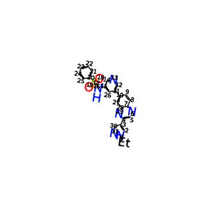 CCn1cc(-c2cnc3ccc(-c4cncc(NS(=O)(=O)c5ccccc5)c4)cc3n2)cn1